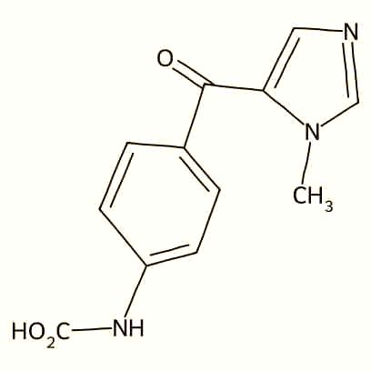 Cn1cncc1C(=O)c1ccc(NC(=O)O)cc1